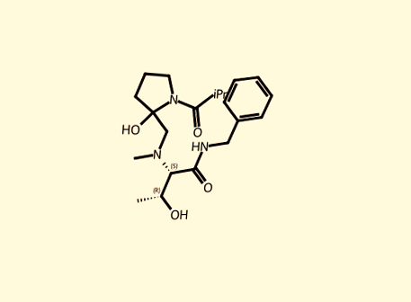 CC(C)C(=O)N1CCCC1(O)CN(C)[C@H](C(=O)NCc1ccccc1)[C@@H](C)O